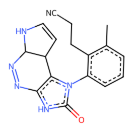 Cc1cccc(-n2c3c([nH]c2=O)N=NC2NC=CC32)c1CCC#N